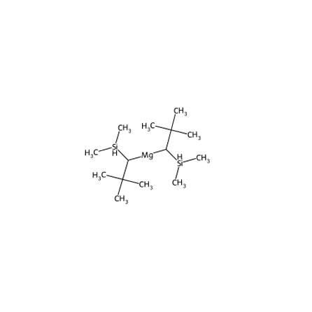 C[SiH](C)[CH]([Mg][CH]([SiH](C)C)C(C)(C)C)C(C)(C)C